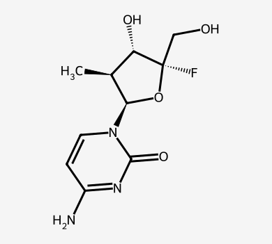 C[C@@H]1[C@H](n2ccc(N)nc2=O)O[C@](F)(CO)[C@H]1O